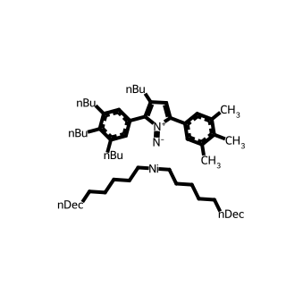 CCCCC1=C(c2cc(CCCC)c(CCCC)c(CCCC)c2)[N+](=[N-])C(c2cc(C)c(C)c(C)c2)=C1.CCCCCCCCCCCCCC[CH2][Ni][CH2]CCCCCCCCCCCCCC